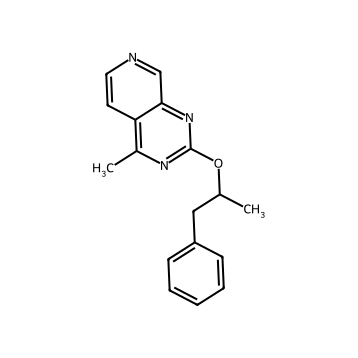 Cc1nc(OC(C)Cc2ccccc2)nc2cnccc12